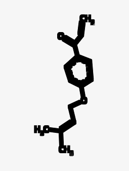 C=CC(=O)c1ccc(OCC=C(C)C)cc1